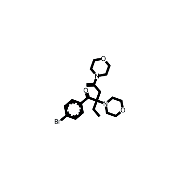 C=C(CC(CC)(C(=O)c1ccc(Br)cc1)N1CCOCC1)N1CCOCC1